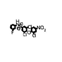 O=[N+]([O-])C1=CCC(OC2C(Cl)=CC(S(=O)(=O)Nc3cccc(F)c3)=CC2Cl)C(Cl)=C1